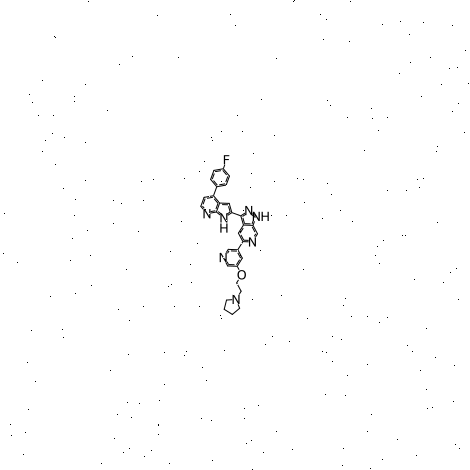 Fc1ccc(-c2ccnc3[nH]c(-c4n[nH]c5cnc(-c6cncc(OCCN7CCCC7)c6)cc45)cc23)cc1